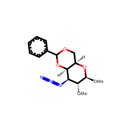 CO[C@@H]1O[C@@H]2COC(c3ccccc3)O[C@@H]2[C@H](N=[N+]=[N-])[C@H]1OC